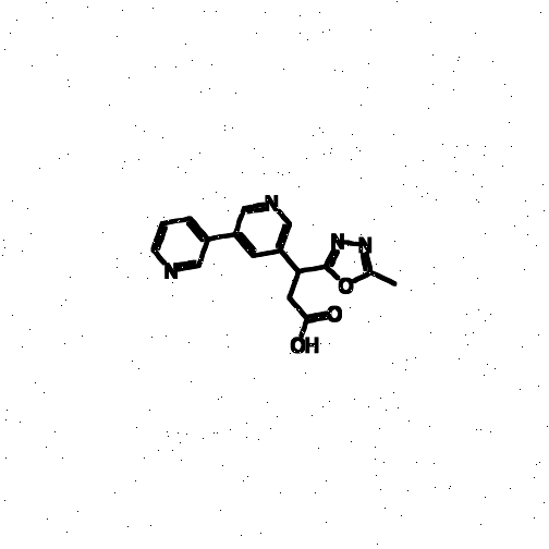 Cc1nnc(C(CC(=O)O)c2cncc(-c3cccnc3)c2)o1